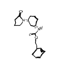 O=C(N[C@H]1CCC[C@@H](N2CCCC2=O)C1)OCc1ccccc1